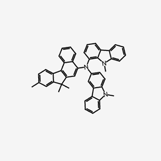 Cc1ccc2c(c1)C(C)(C)c1cc(N(c3ccc4c(c3)c3ccccc3n4C)c3cccc4c5ccccc5n(C)c34)c3ccccc3c1-2